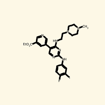 CCOC(=O)c1cncc(-c2cnc(Nc3ccc(F)c(I)c3)nc2NCCN2CCN(C)CC2)c1